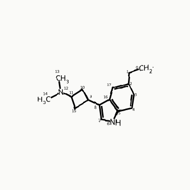 [CH2]Cc1ccc2[nH]cc(C3CC(N(C)C)C3)c2c1